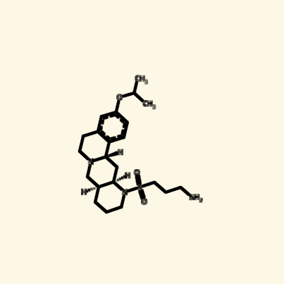 CC(C)Oc1ccc2c(c1)CCN1C[C@@H]3CCCN(S(=O)(=O)CCCN)[C@@H]3C[C@@H]21